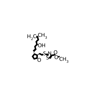 C=C(C)CC[C@@H](O)C/C=C/[C@H]1CCC(=O)[C@@H]1CCSc1nc(C(=O)OCC)cs1